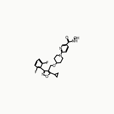 O=C(NO)c1ccc(N2CCC(OCc3c(-c4c(F)cccc4F)noc3C3CC3)CC2)nc1